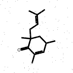 CC(C)=CCC1(C)CC(C)C=C(C)C1=O